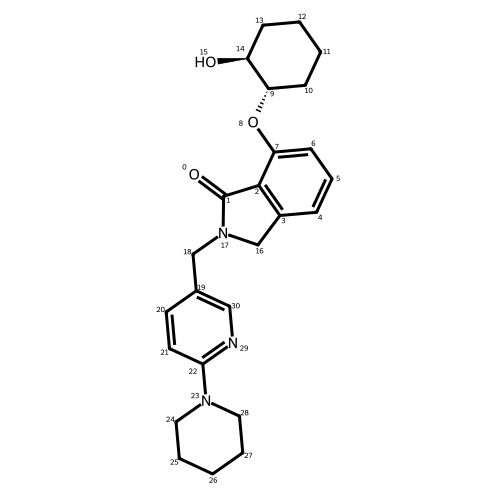 O=C1c2c(cccc2O[C@H]2CCCC[C@@H]2O)CN1Cc1ccc(N2CCCCC2)nc1